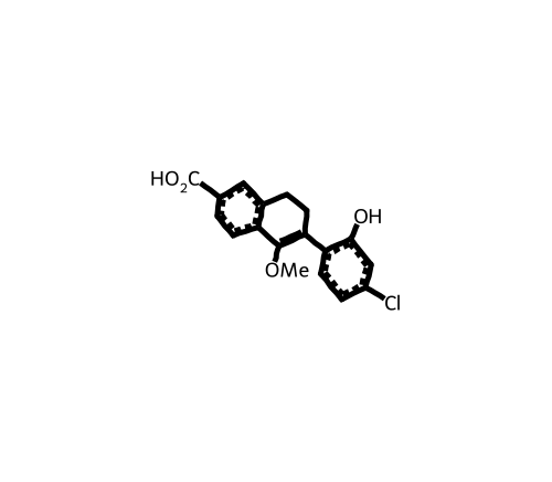 COC1=C(c2ccc(Cl)cc2O)CCc2cc(C(=O)O)ccc21